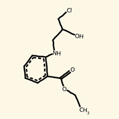 CCOC(=O)c1ccccc1NCC(O)CCl